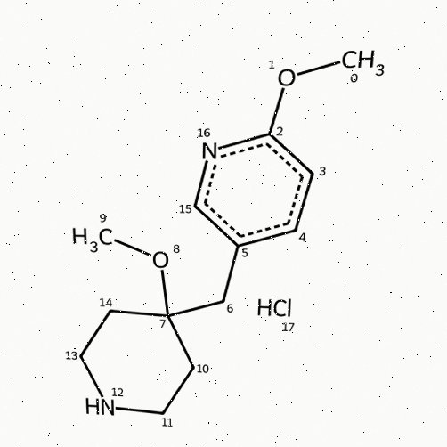 COc1ccc(CC2(OC)CCNCC2)cn1.Cl